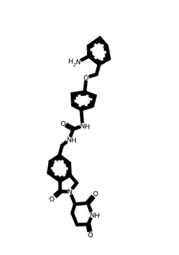 Nc1ccccc1COc1ccc(NC(=O)NCc2ccc3c(c2)CN(C2CCC(=O)NC2=O)C3=O)cc1